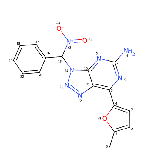 Cc1ccc(-c2nc(N)nc3c2nnn3C(c2ccccc2)[N+](=O)[O-])o1